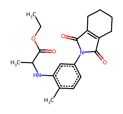 CCOC(=O)C(C)Nc1cc(N2C(=O)C3=C(CCCC3)C2=O)ccc1C